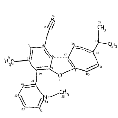 Cc1cc(C#N)c2c(oc3ccc(C(C)C)cc32)c1-c1cccc[n+]1C